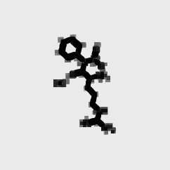 Cl.N=C(N)NCCC[C@H](N)C(=O)N(c1ccccc1)[N+](=O)[O-]